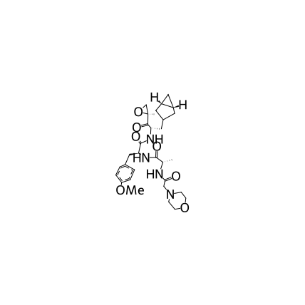 COc1ccc(C[C@H](NC(=O)[C@H](C)NC(=O)CN2CCOCC2)C(=O)N[C@@H](CC2C[C@@H]3C[C@@H]3C2)C(=O)[C@]2(C)CO2)cc1